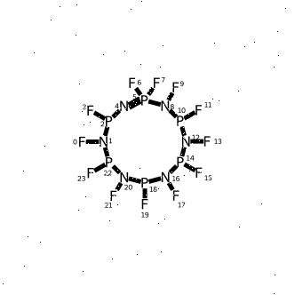 FN1P(F)N=P(F)(F)N(F)P(F)N(F)P(F)N(F)P(F)N(F)P1F